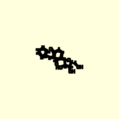 O=c1ccn([C@H]2O[C@@H](CO)C(O)C2O)c(=O)n1Cc1ccccc1